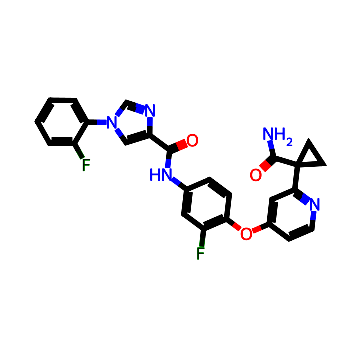 NC(=O)C1(c2cc(Oc3ccc(NC(=O)c4cn(-c5ccccc5F)cn4)cc3F)ccn2)CC1